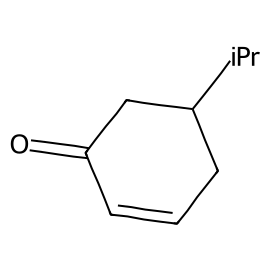 CC(C)C1CC=CC(=O)C1